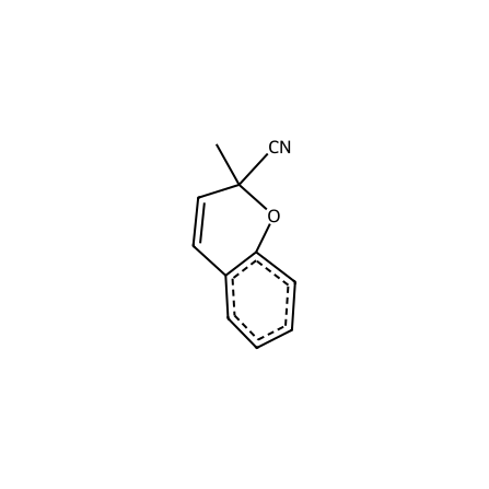 CC1(C#N)C=Cc2ccccc2O1